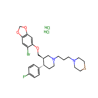 Cl.Cl.Fc1ccc([C@H]2CCN(CCCN3CCSCC3)C[C@@H]2COc2cc3c(cc2Br)OCO3)cc1